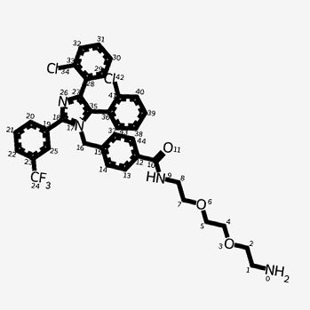 NCCOCCOCCNC(=O)c1ccc(Cn2c(-c3cccc(C(F)(F)F)c3)nc(-c3ccccc3Cl)c2-c2ccccc2Cl)cc1